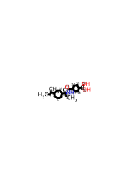 CCC(C)C1CCCC(C(C)(CC)NC(=O)c2ccc(B(O)O)cc2)CC1